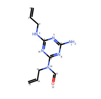 C=CCNc1nc(N)nc(N(C=O)CC=C)n1